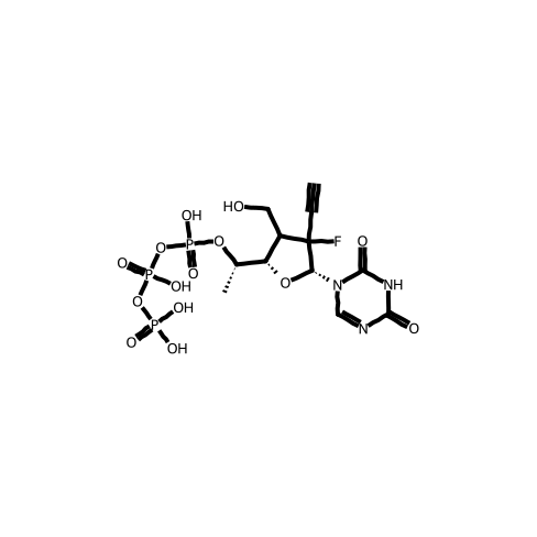 C#CC1(F)C(CO)[C@@H]([C@H](C)OP(=O)(O)OP(=O)(O)OP(=O)(O)O)O[C@H]1n1cnc(=O)[nH]c1=O